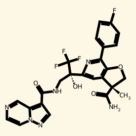 C[C@]1(C(N)=O)COc2c1cc([C@@](O)(CNC(=O)c1cnn3ccncc13)C(F)(F)F)nc2-c1ccc(F)cc1